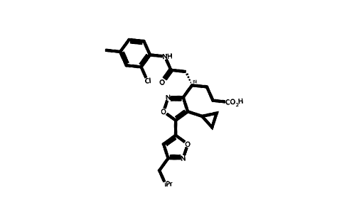 Cc1ccc(NC(=O)C[C@H](CCC(=O)O)c2noc(-c3cc(CC(C)C)no3)c2C2CC2)c(Cl)c1